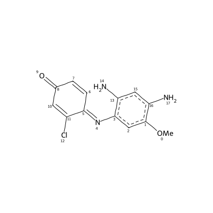 COc1cc(N=C2C=CC(=O)C=C2Cl)c(N)cc1N